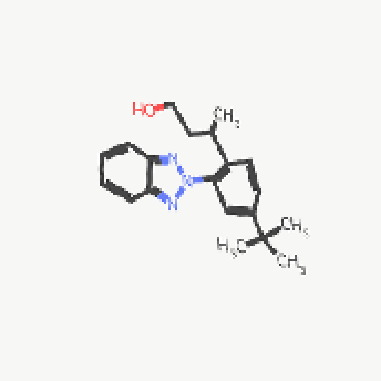 CC(CCO)c1ccc(C(C)(C)C)cc1-n1nc2ccccc2n1